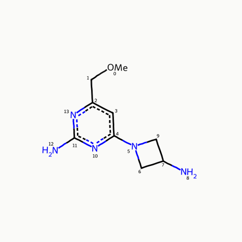 COCc1cc(N2CC(N)C2)nc(N)n1